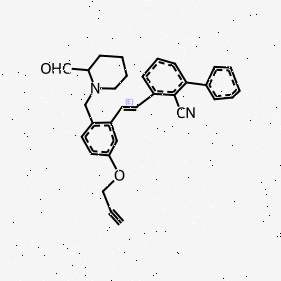 C#CCOc1ccc(CN2CCCCC2C=O)c(/C=C/c2cccc(-c3ccccc3)c2C#N)c1